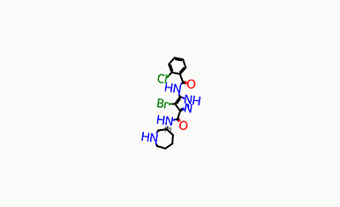 O=C(Nc1[nH]nc(C(=O)N[C@@H]2CCCCNC2)c1Br)c1ccccc1Cl